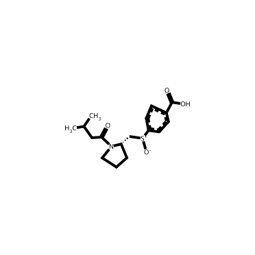 CC(C)CC(=O)N1CCC[C@H]1C[S+]([O-])c1ccc(C(=O)O)cc1